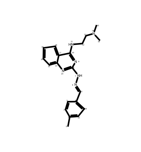 Cc1ccc(C=NNc2nc(NCCN(C)C)c3ccccc3n2)cc1